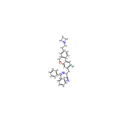 N#CC(Cc1cc2c(cc1F)-c1ccc(CCN3CCC3)cc1CO2)N=C(c1ccccc1)c1ccccc1